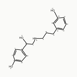 Oc1ccc(C(O)CNCCCc2cccc(O)c2)cc1